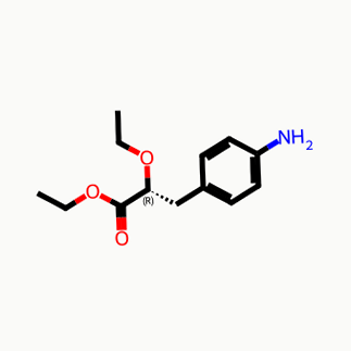 CCOC(=O)[C@@H](Cc1ccc(N)cc1)OCC